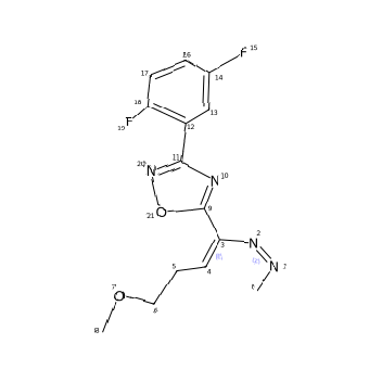 C/N=N\C(=C\CCOC)c1nc(-c2cc(F)ccc2F)no1